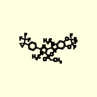 CCS(=O)(=O)c1c(-c2nc3cc4c(cc3n2C)OC(F)(F)C(F)(F)O4)nc(-c2ccc(C3(C(F)(F)F)CC3)cc2)n1C